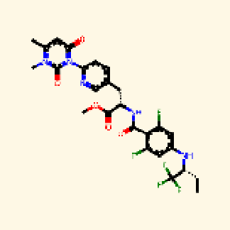 CC[C@@H](Nc1cc(F)c(C(=O)N[C@@H](Cc2ccc(-n3c(=O)cc(C)n(C)c3=O)nc2)C(=O)OC)c(F)c1)C(F)(F)F